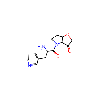 NC(Cc1cccnc1)C(=O)N1CCC2OCC(=O)C21